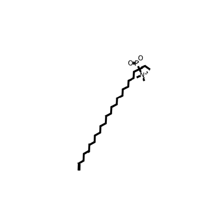 C=CCCCCCCCCCCCCCCCCCCCCC(CC)(P(=O)=O)[N+](C)(C)C